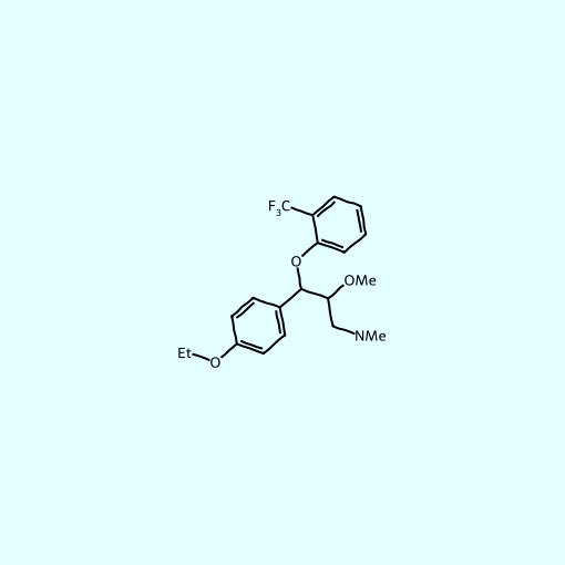 CCOc1ccc(C(Oc2ccccc2C(F)(F)F)C(CNC)OC)cc1